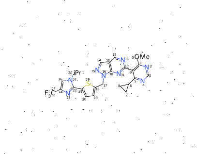 COc1ncnc(C2CC2)c1-c1ncc2cnn(Cc3ccc(-c4nc(C(F)(F)F)cn4C(C)C)s3)c2n1